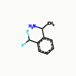 CC(N)c1ccccc1C(F)F